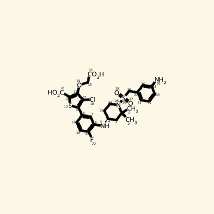 CC1(C)C[C@H](Nc2cc(-c3sc(C(=O)O)c(OCC(=O)O)c3Cl)ccc2F)CCN1S(=O)(=O)Cc1cccc(N)c1